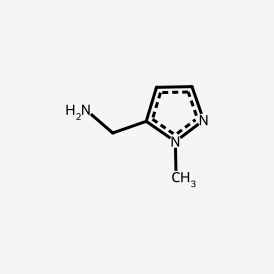 Cn1nccc1CN